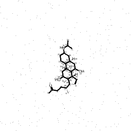 CC(=O)CC[C@@H](C)[C@H]1CC[C@H]2[C@@H]3C(O)C[C@@H]4CC(NC(C)C)CC[C@]4(C)[C@H]3CC(O)[C@]12C